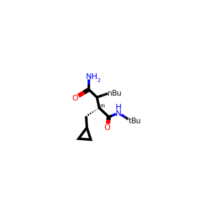 CCCCC(C(N)=O)[C@@H](CC1CC1)C(=O)NC(C)(C)C